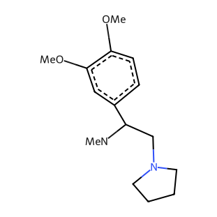 CNC(CN1CCCC1)c1ccc(OC)c(OC)c1